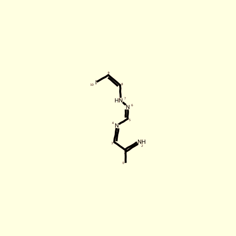 CC(=N)/C=N\C=N/N/C=C\I